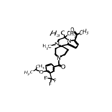 CC(=O)c1ccc2n1C(C)(C)CN(C)C21CCN(C(=O)c2ccc(OC(C)C)c(C(F)(F)F)c2)CC1